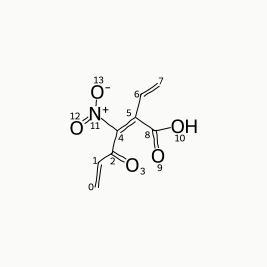 C=CC(=O)C(=C(C=C)C(=O)O)[N+](=O)[O-]